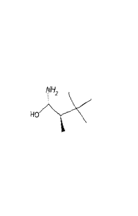 C[C@@H]([C@@H](N)O)C(C)(C)C